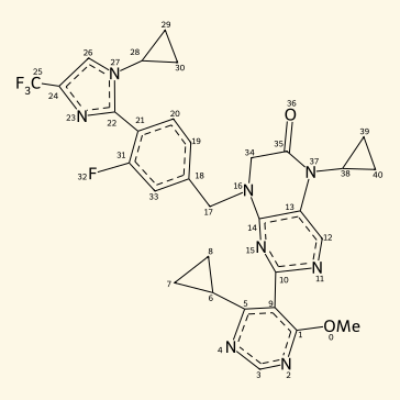 COc1ncnc(C2CC2)c1-c1ncc2c(n1)N(Cc1ccc(-c3nc(C(F)(F)F)cn3C3CC3)c(F)c1)CC(=O)N2C1CC1